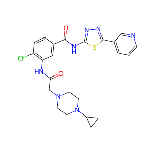 O=C(CN1CCN(C2CC2)CC1)Nc1cc(C(=O)Nc2nnc(-c3cccnc3)s2)ccc1Cl